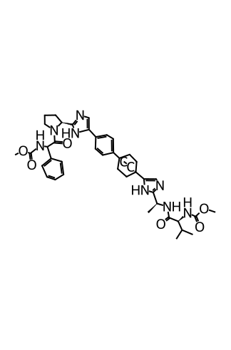 COC(=O)NC(C(=O)N1CCC[C@H]1c1ncc(-c2ccc(C34CCC(c5cnc([C@H](C)NC(=O)[C@@H](NC(=O)OC)C(C)C)[nH]5)(CC3)CC4)cc2)[nH]1)c1ccccc1